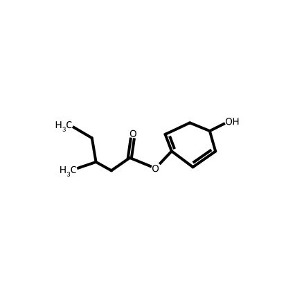 CCC(C)CC(=O)OC1=CCC(O)C=C1